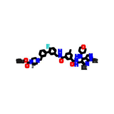 CCc1nc2c(cnn2CC)c(NC2CCOCC2)c1CNC(=O)c1cc(C)cc(C(=O)NCc2ccc(F)c(-c3cccc(CN4CCN(C(=O)OC(C)(C)C)[C@@H](C)C4)c3)c2)c1